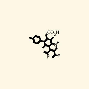 C=C(F)C1=C(C(=C)F)c2c(C)c(-c3ccc(C)cc3)c(CC(=O)O)c(C)c2N(C)C1